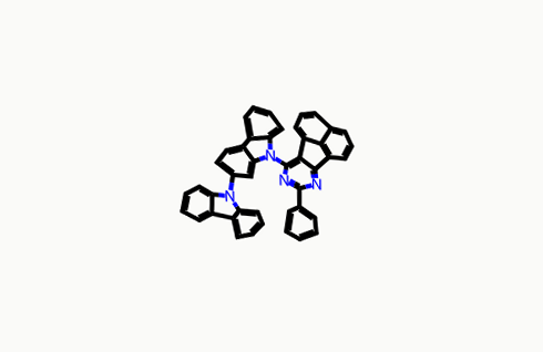 c1ccc(-c2nc3c(c(-n4c5ccccc5c5ccc(-n6c7ccccc7c7ccccc76)cc54)n2)-c2cccc4cccc-3c24)cc1